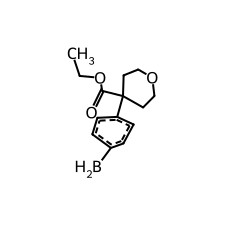 Bc1ccc(C2(C(=O)OCC)CCOCC2)cc1